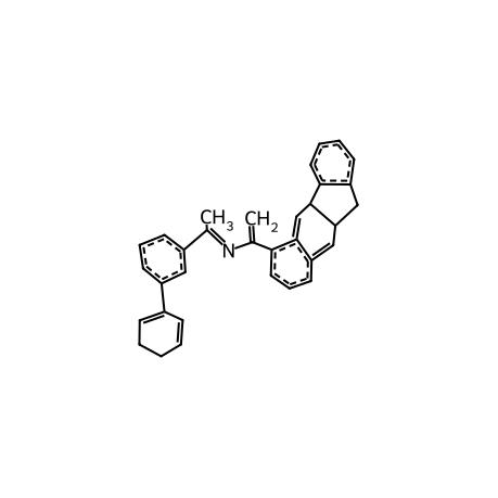 C=C(/N=C(\C)c1cccc(C2=CCCC=C2)c1)c1cccc2c1=CC1c3ccccc3CC1C=2